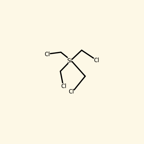 ClC[Si](CCl)(CCl)CCl